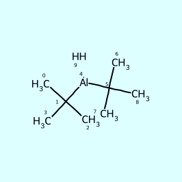 C[C](C)(C)[Al][C](C)(C)C.[HH]